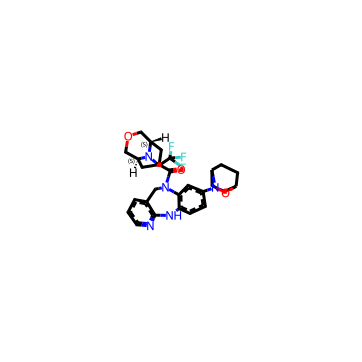 O=C(C1C[C@H]2COC[C@H](C1)N2CC(F)(F)F)N1Cc2cccnc2Nc2ccc(N3CC4CCC3CO4)cc21